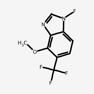 COc1c(C(F)(F)F)ccc2c1n[c]n2F